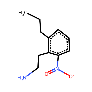 CCCc1cccc([N+](=O)[O-])c1CCN